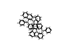 c1ccc(N(c2ccccc2)c2cccc3c4cccc5c6cc7c(cc6n(c23)c54)c2cccc3c4cc5ccccc5c(N(c5ccccc5)c5ccccc5)c4n7c23)cc1